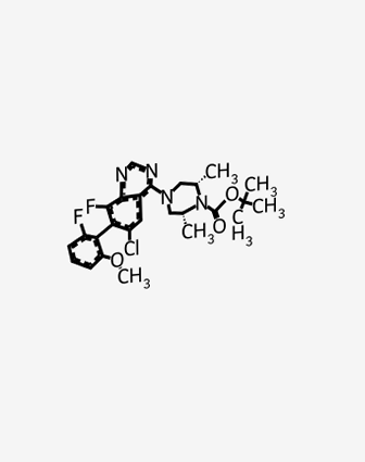 COc1cccc(F)c1-c1c(Cl)cc2c(N3C[C@@H](C)N(C(=O)OC(C)(C)C)[C@@H](C)C3)ncnc2c1F